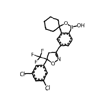 OB1OC2(CCCCC2)c2cc(C3=NOC(c4cc(Cl)cc(Cl)c4)(C(F)(F)F)C3)ccc21